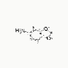 Nc1[c]cc2c(c1)OCO2